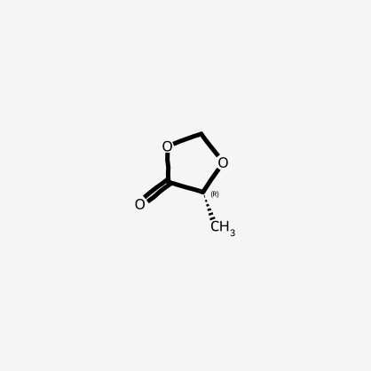 C[C@H]1OCOC1=O